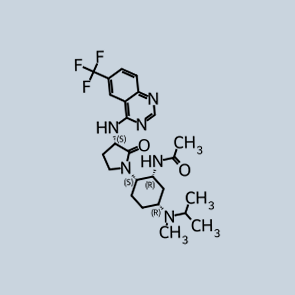 CC(=O)N[C@@H]1C[C@H](N(C)C(C)C)CC[C@@H]1N1CC[C@H](Nc2ncnc3ccc(C(F)(F)F)cc23)C1=O